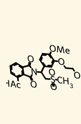 COCCOc1cc(C(CS(C)(=O)=O)N2C(=O)c3cccc(NC(C)=O)c3C2=O)ccc1OC